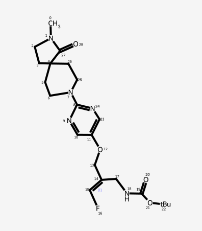 CN1CCC2(CCN(c3ncc(OC/C(=C/F)CNC(=O)OC(C)(C)C)cn3)CC2)C1=O